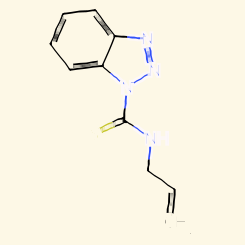 C=CCNC(=S)n1nnc2ccccc21